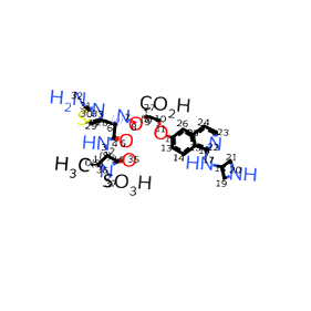 C[C@H]1[C@H](NC(=O)/C(=N\O[C@@H](COc2ccc3c(NC4CNC4)nccc3c2)C(=O)O)c2csc(N)n2)C(=O)N1S(=O)(=O)O